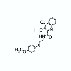 COc1ccc(SCCNC(=O)c2nc3ccccc3[n+]([O-])c2C)cc1